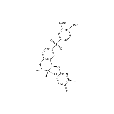 COc1ccc(S(=O)(=O)c2ccc3c(c2)[C@@H](Oc2ccc(=O)n(C)n2)[C@](C)(O)C(C)(C)O3)cc1OC